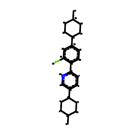 CC1CCC(c2ccc(-c3ccc(C4CCC(C)CC4)cc3F)nc2)CC1